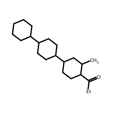 CCC(=O)C1CCC(C2CCC(C3CCCCC3)CC2)CC1C